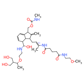 C=C1C(COC(=O)NC)C2=CC=CC(C(O)NCCOC(C)C(CO)CO)C2C1C/C=C(\C)NC(=O)CCCC(=O)NCCOC